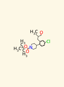 CCC(C=O)Cc1cc(Cl)ccc1C1CCN(C(=O)OC(C)(C)C)CC1